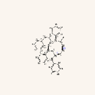 CC1/C=C\C=C2/CB(c3ccccc3N2c2ccccc2)c2c(ccc3ccccc23)N1c1ccccc1